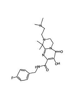 CN(C)CCN1CCn2c(nc(C(=O)NCc3ccc(F)cc3)c(O)c2=O)C1(C)C